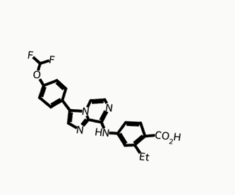 CCc1cc(Nc2nccn3c(-c4ccc(OC(F)F)cc4)cnc23)ccc1C(=O)O